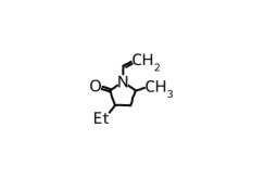 C=CN1C(=O)C(CC)CC1C